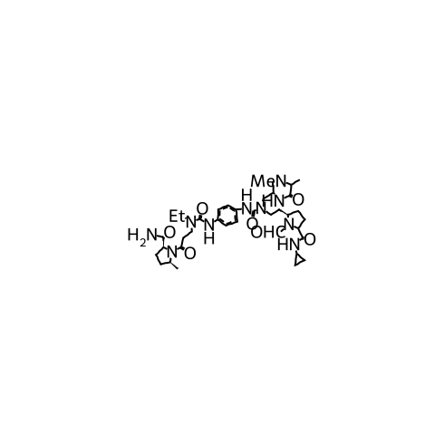 CCN(CCC(=O)N1[C@@H](C)CC[C@H]1C(N)=O)C(=O)Nc1ccc(NC(=O)N(CC[C@H]2CCC(C(=O)NC3CC3)N2C=O)CC(C)NC(=O)C(C)NC)cc1